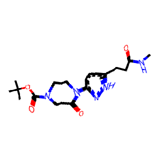 CNC(=O)CCc1cc(N2CCN(C(=O)OC(C)(C)C)CC2=O)n[nH]1